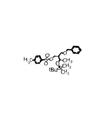 Cc1ccc(S(=O)(=O)OC[C@@H](COCc2ccccc2)[C@@H](C)O[Si](C)(C)C(C)(C)C)cc1